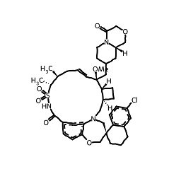 CO[C@]1(CC2CCN3C(=O)COC[C@@H]3C2)/C=C/C[C@H](C)[C@@H](C)S(=O)(=O)NC(=O)c2ccc3c(c2)N(C[C@@H]2CC[C@H]21)C[C@@]1(CCCc2cc(Cl)ccc21)CO3